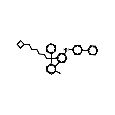 Cc1cccc2c1-c1ccc(Nc3ccc(-c4ccccc4)cc3)cc1C2(CCCCCCC1CCC1)c1ccccc1